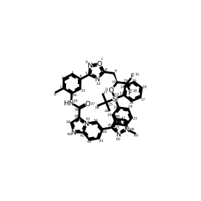 Cc1ccc(-c2noc(C[C@H](O[Si](c3ccccc3)(c3ccccc3)C(C)(C)C)C(F)F)n2)cc1NC(=O)c1cnc2ccc(-c3ccn(C)n3)cn12